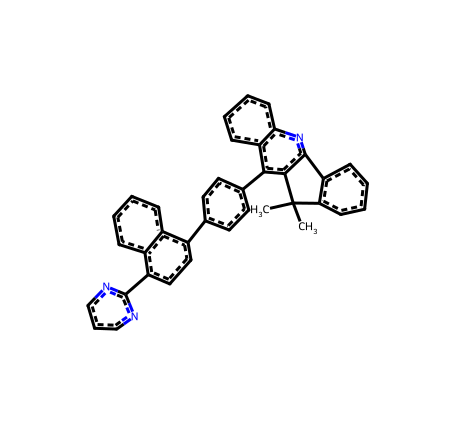 CC1(C)c2ccccc2-c2nc3ccccc3c(-c3ccc(-c4ccc(-c5ncccn5)c5ccccc45)cc3)c21